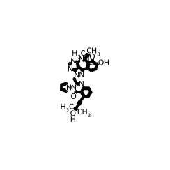 CC(C)(O)C#Cc1cccc2nc(Cn3nc(-c4ccc(O)c5c4CC(C)(C)O5)c4c(N)ncnc43)n(-n3cccc3)c(=O)c12